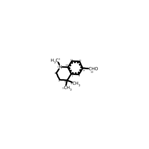 CN1CCC(C)(C)c2cc(C=O)ccc21